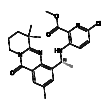 COC(=O)c1nc(Cl)ccc1N[C@H](C)c1cc(C)cc2c(=O)n3c(nc12)C(C)(C)CCC3